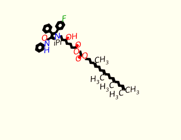 CC(C)=CCC/C(C)=C/CC/C(C)=C/CC/C=C(\C)CCCOC(=O)COC(=O)CCCC(O)CCn1c(-c2ccc(F)cc2)c(-c2ccccc2)c(C(=O)Nc2ccccc2)c1C(C)C